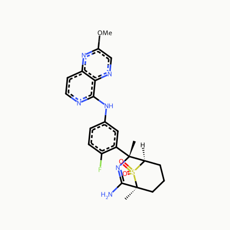 COc1cnc2c(Nc3ccc(F)c([C@@]4(C)N=C(N)[C@]5(C)CCC[C@H]4S5(=O)=O)c3)nccc2n1